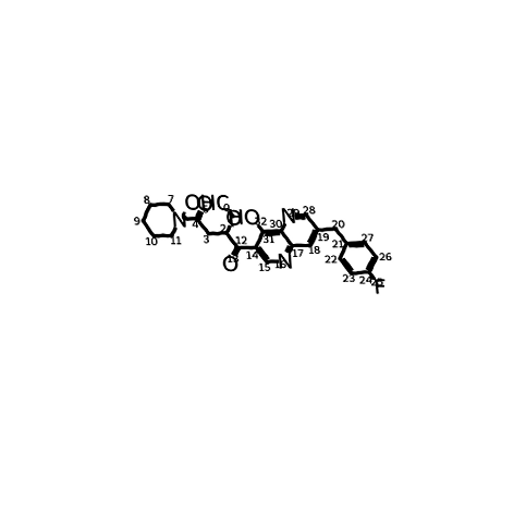 O=COC(CC(=O)N1CCCCC1)C(=O)c1cnc2cc(Cc3ccc(F)cc3)cnc2c1O